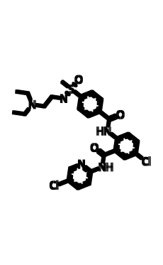 CCN(CC)CCN=S(C)(=O)c1ccc(C(=O)Nc2ccc(Cl)cc2C(=O)Nc2ccc(Cl)cn2)cc1